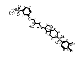 CCNS(=O)(=O)c1cccc(OCC(O)CNC2COC3(CCN(S(=O)(=O)c4ccc(Br)c(C)c4)CC3)C2)c1